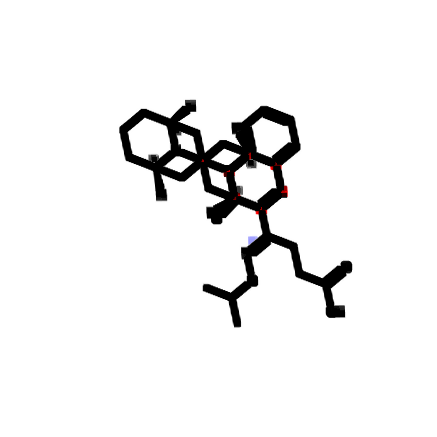 CC(C)O/N=C(\CCC(=O)O)c1nc2ccccc2n(C2C[C@H]3CCC[C@@H](C2)N3C2C[C@H]3CCC[C@@H](C2)C3)c1=O